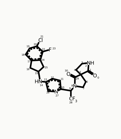 O=C1NCCC12CCN(C(c1ccc(NC3Cc4ccc(Cl)c(F)c4C3)cn1)C(F)(F)F)C2=O